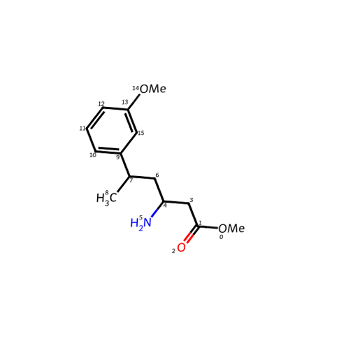 COC(=O)CC(N)CC(C)c1cccc(OC)c1